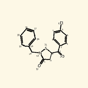 O=C(c1ccc(Cl)cc1)C1CC(=O)N(Cc2ccccc2)S1